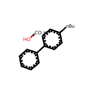 CCCCc1ccc(-c2ccccc2)cc1.O=C(O)O